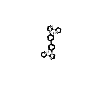 c1cn(-c2ccc(-c3ccc(-n4ccnc4[C@@H]4CCCN4)cc3)cc2)c([C@@H]2CCCN2)n1